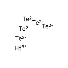 [Hf+4].[Te-2].[Te-2].[Te-2].[Te-2].[Te-2]